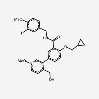 COc1ccc(CNC(=O)c2cc(-c3c[n+](OC)ccc3CO)ccc2OCC2CC2)cc1F